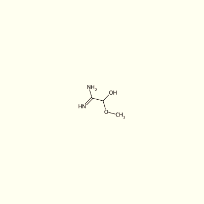 COC(O)C(=N)N